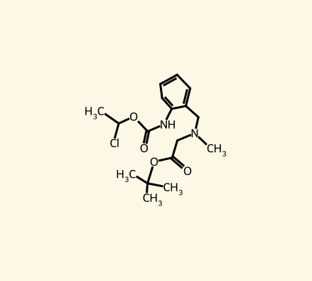 CC(Cl)OC(=O)Nc1ccccc1CN(C)CC(=O)OC(C)(C)C